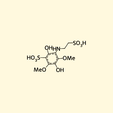 COc1c(O)c(OC)c(S(=O)(=O)O)c(O)c1NCCS(=O)(=O)O